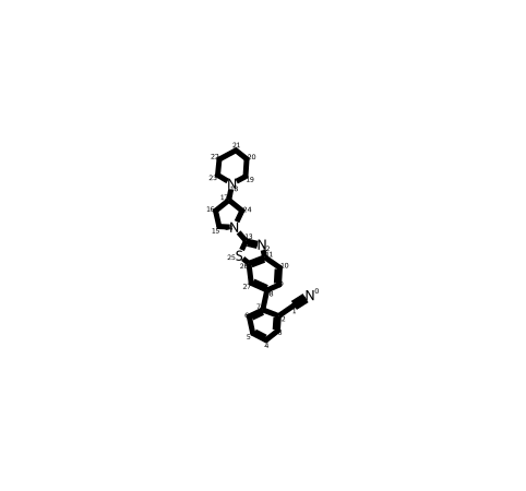 N#Cc1ccccc1-c1ccc2nc(N3CCC(N4CCCCC4)C3)sc2c1